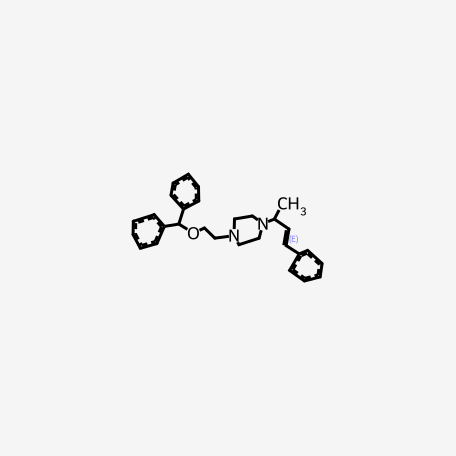 CC(/C=C/c1ccccc1)N1CCN(CCOC(c2ccccc2)c2ccccc2)CC1